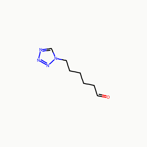 O=CCCCCCn1cnnn1